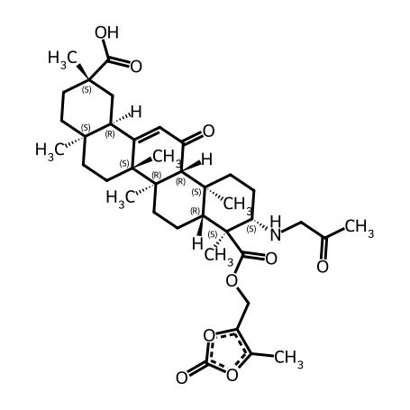 CC(=O)CN[C@H]1CC[C@@]2(C)[C@@H](CC[C@]3(C)[C@@H]2C(=O)C=C2[C@@H]4C[C@@](C)(C(=O)O)CC[C@]4(C)CC[C@]23C)[C@]1(C)C(=O)OCc1oc(=O)oc1C